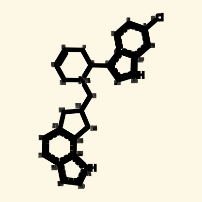 Clc1ccc2c(C3CC=CCN3CC3Cc4ccc5cc[nH]c5c4C3)c[nH]c2c1